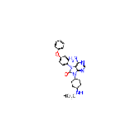 Nc1ncnc2c1n(-c1ccc(Oc3ccccc3)cc1)c(=O)n2C1CCC(NC(=O)O)CC1